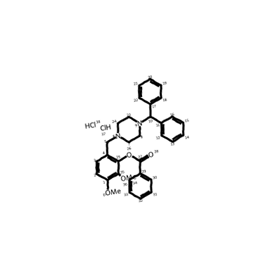 COc1ccc(CN2CCN(C(c3ccccc3)c3ccccc3)CC2)c(OC(=O)c2ccccc2)c1OC.Cl.Cl